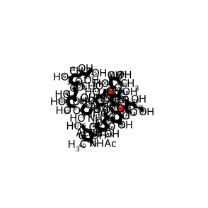 CC(=O)NC1C(O)[C@H](O[C@@H]2OC(CO[C@]3(OC=O)C[C@@H](O)[C@@H](C)C([C@H](O)[C@H](O)CO)O3)[C@H](O)C(O)[C@@H]2O)[C@H](CO)O[C@H]1OC1[C@@H](OCC2O[C@@H](O[C@@H]3C(CO)O[C@@H](O[C@@H]4C(CO)O[C@@H](C)C(NC(C)=O)[C@H]4O)C(NC(C)=O)[C@H]3O)C(O)[C@@H](O[C@H]3O[C@H](CO)[C@@H](O)C(O)C3O[C@@H]3OC(CO)[C@@H](O[C@@H]4OC(C)[C@H](O)[C@H](O)C4O)[C@H](O)C3NC(C)=O)[C@@H]2O)OC(CO)[C@@H](O)[C@@H]1O